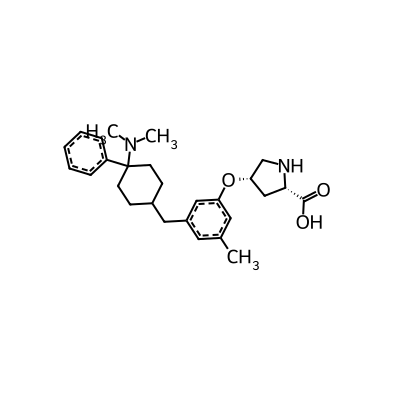 Cc1cc(CC2CCC(c3ccccc3)(N(C)C)CC2)cc(O[C@@H]2CN[C@H](C(=O)O)C2)c1